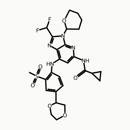 CS(=O)(=O)c1cc(C2COCCO2)ccc1Nc1cc(NC(=O)C2CC2)nc2c1nc(C(F)F)n2C1CCCCO1